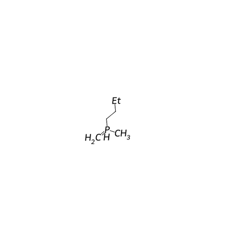 C=[PH](C)CCCC